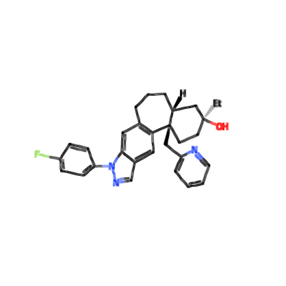 CC[C@]1(O)CC[C@]2(Cc3ccccn3)c3cc4cnn(-c5ccc(F)cc5)c4cc3CCC[C@@H]2C1